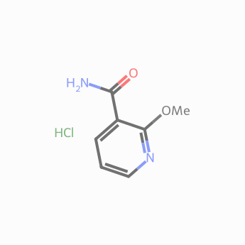 COc1ncccc1C(N)=O.Cl